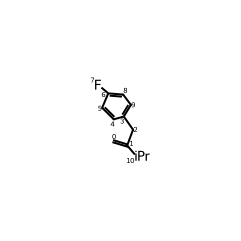 C=C(Cc1ccc(F)cc1)C(C)C